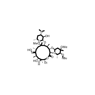 CCCCO[C@H]1[C@H](C)O[C@@H](O[C@H]2[C@H](C)[C@@H](O[C@@H]3O[C@H](C)C[C@H](N(C)C)[C@H]3O)[C@](C)(OC)C[C@@H](C)/C(=N\O)[C@H](C)[C@@H](O)[C@](C)(O)[C@@H](CC)OC(=O)[C@@H]2C)C[C@@]1(C)OC